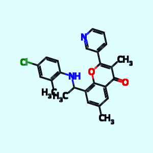 Cc1cc(C(C)Nc2ccc(Cl)cc2C)c2oc(-c3cccnc3)c(C)c(=O)c2c1